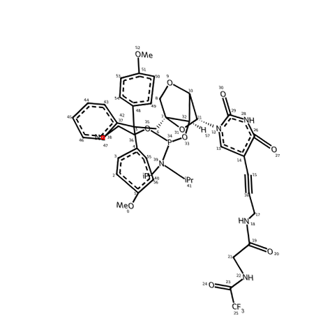 COc1ccc(C(C[C@@]23COC([C@H](n4cc(C#CCNC(=O)CNC(=O)C(F)(F)F)c(=O)[nH]c4=O)O2)[C@H]3OP(OCCC#N)N(C(C)C)C(C)C)(c2ccccc2)c2ccc(OC)cc2)cc1